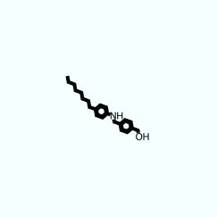 CCCCCCCCc1ccc(NCc2ccc(CO)cc2)cc1